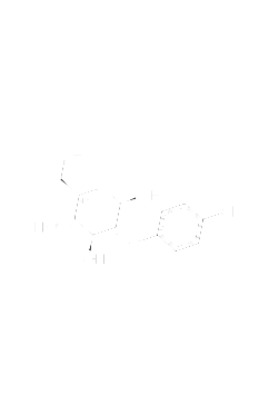 OC[C@H]1O[C@@H](O)[C@H](Oc2ccc(Cl)cc2)[C@@H](O)[C@@H]1O